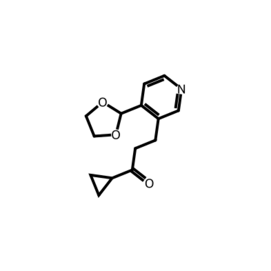 O=C(CCc1cnccc1C1OCCO1)C1CC1